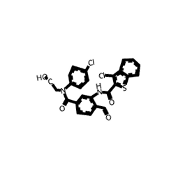 O=Cc1ccc(C(=O)N(CCO)c2ccc(Cl)cc2)cc1NC(=O)c1sc2ccccc2c1Cl